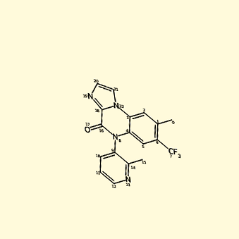 Cc1cc2c(cc1C(F)(F)F)n(-c1cccnc1C)c(=O)c1nccn12